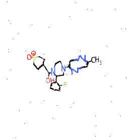 Cc1cnc(N2CCN(C(O)C3CCS(=O)(=O)CC3)C(c3ccccc3F)C2)cn1